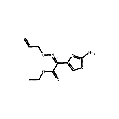 C=CCO/N=C(\C(=O)OCC)c1csc(N)n1